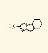 O=C(O)c1cn2c3c(sc2n1)CCCC3